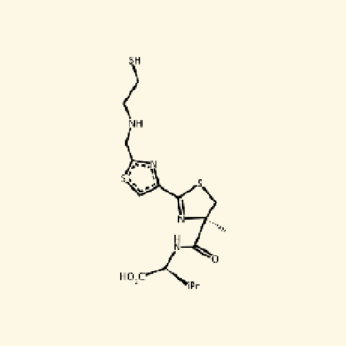 CC(C)[C@H](NC(=O)[C@]1(C)CSC(c2csc(CNCCS)n2)=N1)C(=O)O